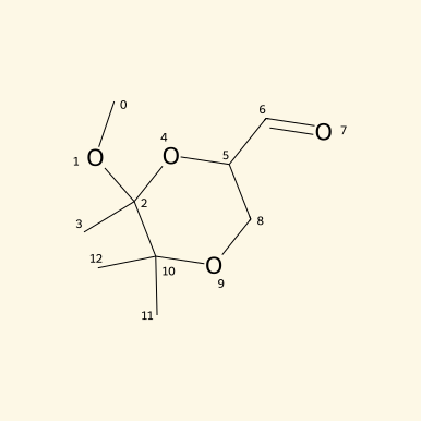 COC1(C)OC(C=O)COC1(C)C